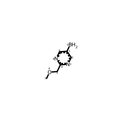 Bc1cnc(COC)nc1